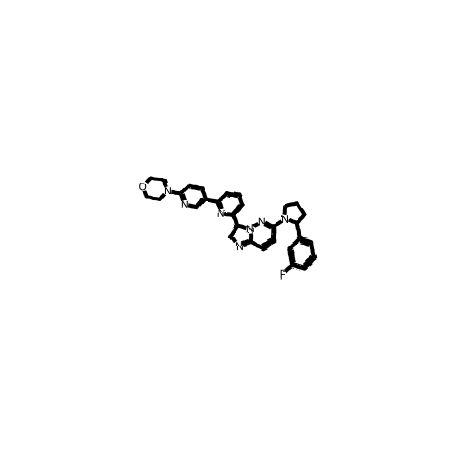 Fc1cccc(C2CCCN2C2=NN3C(=NCC3c3cccc(-c4ccc(N5CCOCC5)nc4)n3)C=C2)c1